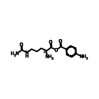 NC(=O)NCCC[C@H](N)C(=O)OC(=O)c1ccc(N)cc1